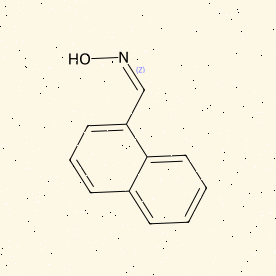 O/N=C\c1cccc2ccccc12